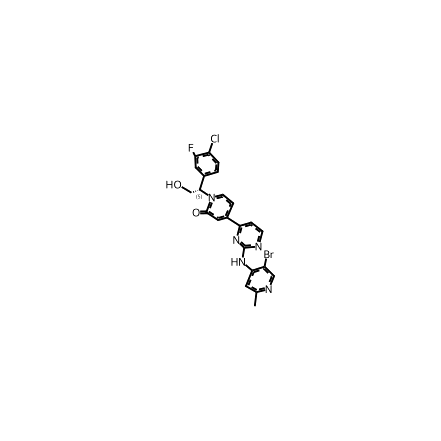 Cc1cc(Nc2nccc(-c3ccn([C@H](CO)c4ccc(Cl)c(F)c4)c(=O)c3)n2)c(Br)cn1